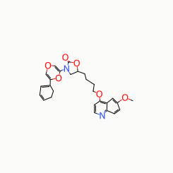 COc1ccc2nccc(OCCCCC3CN(C4=COC=C(C5=CC=CCC5)O4)C(=O)O3)c2c1